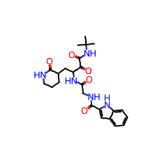 CC(C)(C)NC(=O)C(=O)C(CC1CCCNC1=O)NC(=O)CNC(=O)c1cc2ccccc2[nH]1